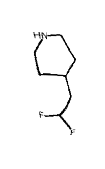 FC(F)CC1CCNCC1